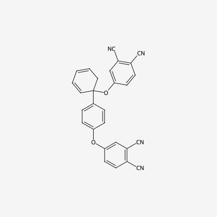 N#Cc1ccc(Oc2ccc(C3(Oc4ccc(C#N)c(C#N)c4)C=CC=CC3)cc2)cc1C#N